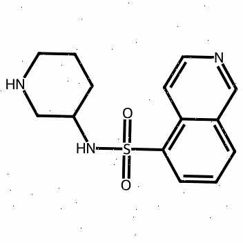 O=S(=O)(NC1CCCNC1)c1cccc2cnccc12